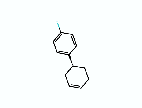 Fc1ccc([C@@H]2CC=CCC2)cc1